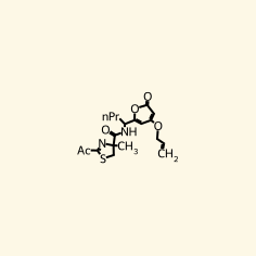 C=CCOc1cc(C(CCC)NC(=O)C2(C)CSC(C(C)=O)=N2)oc(=O)c1